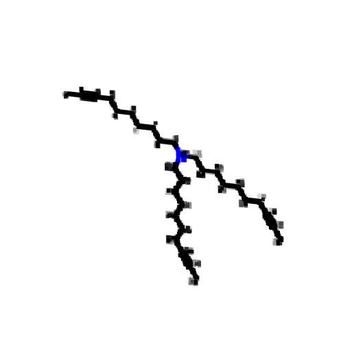 CC#CCCCCCCCN(CCCCCCCC#CC)CCCCCCCC#CC